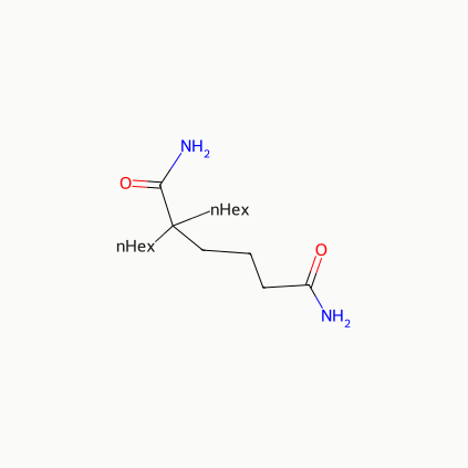 CCCCCCC(CCCCCC)(CCCC(N)=O)C(N)=O